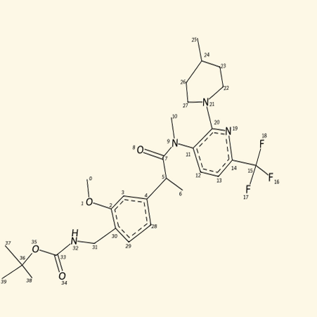 COc1cc(C(C)C(=O)N(C)c2ccc(C(F)(F)F)nc2N2CCC(C)CC2)ccc1CNC(=O)OC(C)(C)C